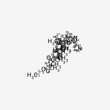 CCCCOC(=O)C1CC(C(=O)O[C@H]2CC[C@]3(C)[C@H]4CC[C@@H]5[C@H]6[C@H](C7(C)CC7)CC[C@]6(C(=O)N6CCC[C@H]6c6ncc(-c7cccnc7)[nH]6)CC[C@@]5(C)[C@]4(C)CC[C@H]3C2(C)C)C1(C)C